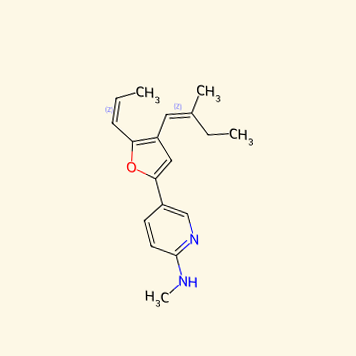 C/C=C\c1oc(-c2ccc(NC)nc2)cc1/C=C(/C)CC